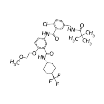 COCCOc1ccc(NC(=O)c2cc(CNC(=O)C(C)(C)C)ccc2Cl)cc1C(=O)N[C@H]1CC[C@H](C(F)(F)F)CC1